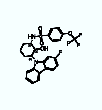 O=S(=O)(N[C@H]1CCC[C@@H](n2c3ccccc3c3ccc(F)cc32)[C@@H]1O)c1ccc(OC(F)(F)F)cc1